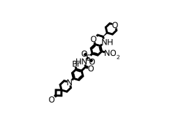 O=C1CC2(CCN(c3ccc(C(=O)NS(=O)(=O)c4cc5c(c([N+](=O)[O-])c4)N[C@H](C4CCOCC4)CO5)c(Br)c3)CC2)C1